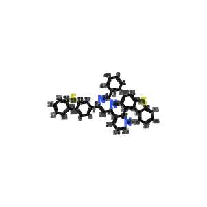 c1ccc(-c2nc(-c3ccc4c(c3)sc3ccccc34)cc(-c3cccnc3-c3cccc4sc5ccccc5c34)n2)cc1